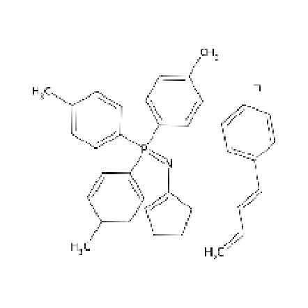 C=CC=Cc1ccccc1.Cc1ccc(P(=NC2=CC=CC2)(c2ccc(C)cc2)c2ccc(C)cc2)cc1.[Ti]